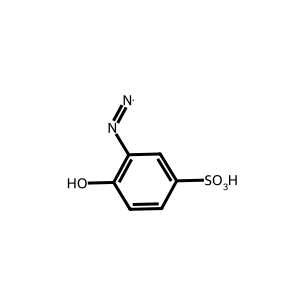 [N]=Nc1cc(S(=O)(=O)O)ccc1O